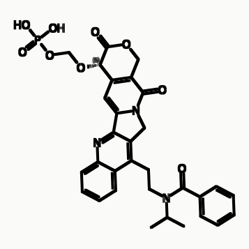 CC(C)N(CCc1c2c(nc3ccccc13)-c1cc3c(c(=O)n1C2)COC(=O)[C@H]3OCOP(=O)(O)O)C(=O)c1ccccc1